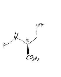 CCCC[C@H](NF)C(=O)O